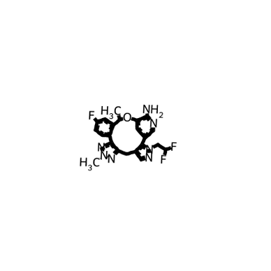 CC1Oc2cc(cnc2N)-c2c(cnn2CC(F)F)Cc2nn(C)nc2-c2ccc(F)cc21